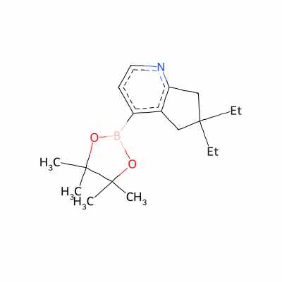 CCC1(CC)Cc2nccc(B3OC(C)(C)C(C)(C)O3)c2C1